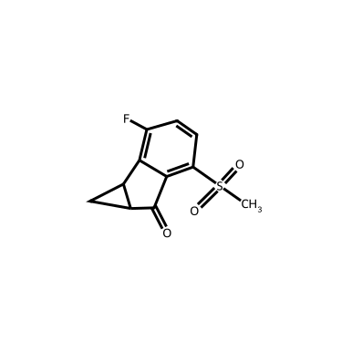 CS(=O)(=O)c1ccc(F)c2c1C(=O)C1CC21